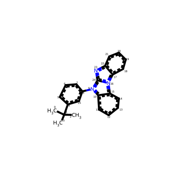 CC(C)(C)c1cccc(-n2c3ccccc3n3c4ccccc4nc23)c1